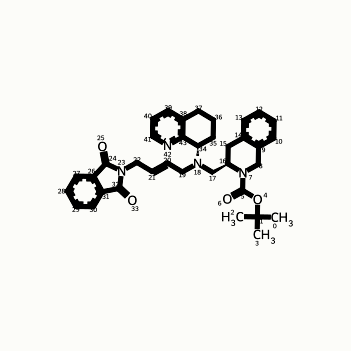 CC(C)(C)OC(=O)N1Cc2ccccc2C[C@@H]1CN(C/C=C/CN1C(=O)c2ccccc2C1=O)[C@H]1CCCc2cccnc21